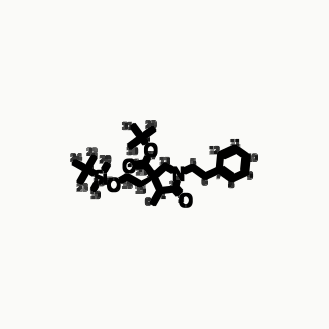 CC1C(=O)N(CCc2ccccc2)C[C@@]1(CCO[Si](C)(C)C(C)(C)C)C(=O)OC(C)(C)C